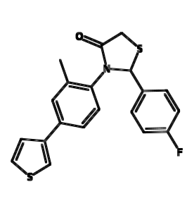 Cc1cc(-c2ccsc2)ccc1N1C(=O)CSC1c1ccc(F)cc1